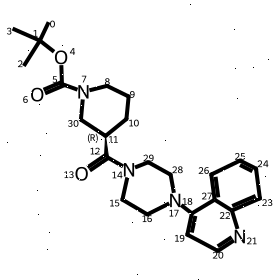 CC(C)(C)OC(=O)N1CCC[C@@H](C(=O)N2CCN(c3ccnc4ccccc34)CC2)C1